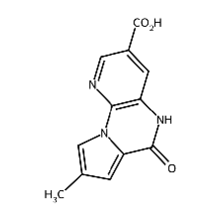 Cc1cc2c(=O)[nH]c3cc(C(=O)O)cnc3n2c1